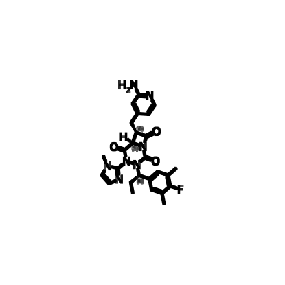 CC[C@H](c1cc(C)c(F)c(C)c1)N1C(=O)N2C(=O)[C@H](Cc3ccnc(N)c3)[C@H]2C(=O)N1c1nccn1C